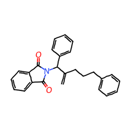 C=C(CCCc1ccccc1)C(c1ccccc1)N1C(=O)c2ccccc2C1=O